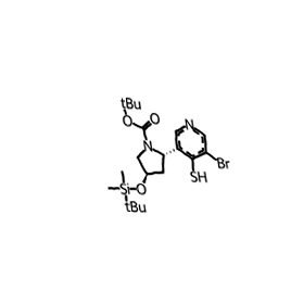 CC(C)(C)OC(=O)N1C[C@H](O[Si](C)(C)C(C)(C)C)C[C@H]1c1cncc(Br)c1S